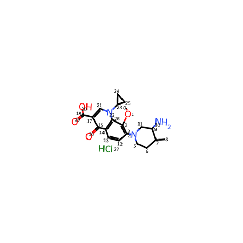 COc1c(N2CCC(C)C(N)C2)ccc2c(=O)c(C(=O)O)cn(C3CC3)c12.Cl